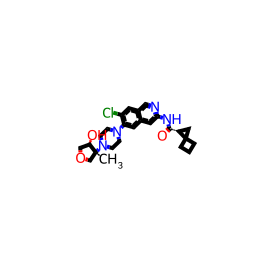 C[C@]1(N2CCN(c3cc4cc(NC(=O)[C@@H]5CC56CCC6)ncc4cc3Cl)CC2)COC[C@H]1O